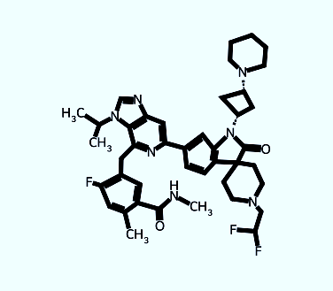 CNC(=O)c1cc(Cc2nc(-c3ccc4c(c3)N([C@H]3C[C@@H](N5CCCCC5)C3)C(=O)C43CCN(CC(F)F)CC3)cc3ncn(C(C)C)c23)c(F)cc1C